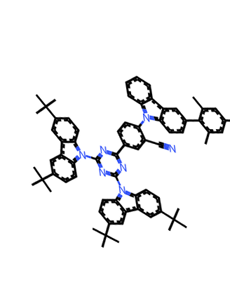 Cc1cc(C)c(-c2ccc3c(c2)c2ccccc2n3-c2ccc(-c3nc(-n4c5ccc(C(C)(C)C)cc5c5cc(C(C)(C)C)ccc54)nc(-n4c5ccc(C(C)(C)C)cc5c5cc(C(C)(C)C)ccc54)n3)cc2C#N)c(C)c1